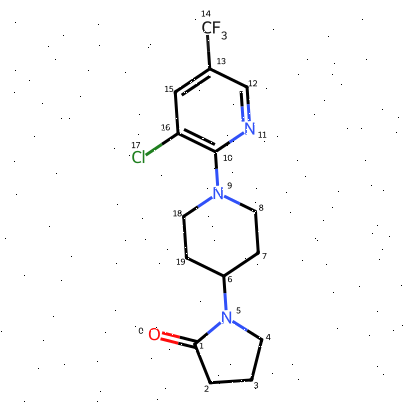 O=C1CCCN1C1CCN(c2ncc(C(F)(F)F)cc2Cl)CC1